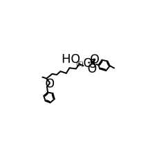 Cc1ccc(S(=O)(=O)OC[C@@H](O)CCCCCCC(C)OCc2ccccc2)cc1